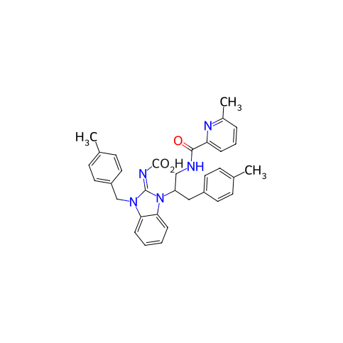 Cc1ccc(CC(CNC(=O)c2cccc(C)n2)n2c(=NC(=O)O)n(Cc3ccc(C)cc3)c3ccccc32)cc1